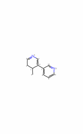 CC1CC=NC=C1c1cccnc1